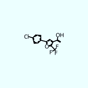 C=C(O)c1cc(-c2ccc(Cl)cc2)oc1C(F)(F)F